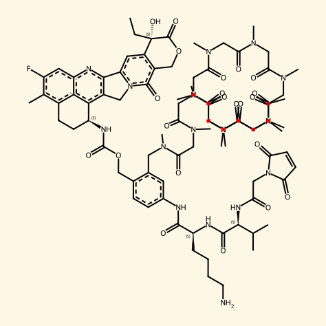 CC[C@@]1(O)C(=O)OCc2c1cc1n(c2=O)Cc2c-1nc1cc(F)c(C)c3c1c2[C@@H](NC(=O)OCc1ccc(NC(=O)[C@H](CCCCN)NC(=O)[C@@H](NC(=O)CN2C(=O)C=CC2=O)C(C)C)cc1CN(C)C(=O)CN(C)C(=O)CN(C)C(=O)CN(C)C(=O)CN(C)C(=O)CN(C)C(=O)CN(C)C(=O)CN(C)C(=O)CN(C)C(=O)CN(C)C(=O)CN(C)C(C)=O)CC3